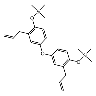 C=CCc1cc(Oc2ccc(O[Si](C)(C)C)c(CC=C)c2)ccc1O[Si](C)(C)C